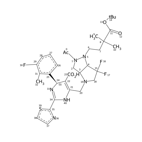 CC(=O)N1CC2C(N1CCC(C)(C)C(=O)OC(C)(C)C)C(F)(F)CN2CC1=C(C(=O)O)[C@H](c2cccc(F)c2C)N=C(c2nccs2)N1